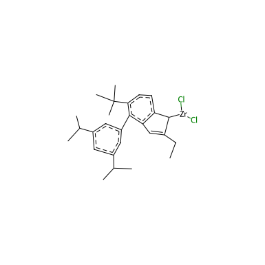 CCC1=Cc2c(ccc(C(C)(C)C)c2-c2cc(C(C)C)cc(C(C)C)c2)[CH]1[Zr]([Cl])[Cl]